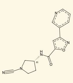 N#CN1CC[C@@H](NC(=O)c2cc(-c3cccnc3)no2)C1